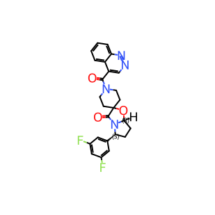 O=C(c1cnnc2ccccc12)N1CCC2(CC1)O[C@@H]1CC[C@@H](c3cc(F)cc(F)c3)N1C2=O